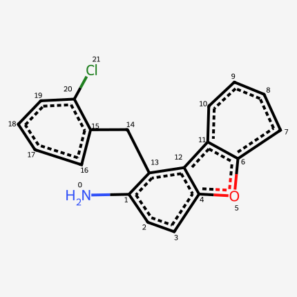 Nc1ccc2oc3ccccc3c2c1Cc1ccccc1Cl